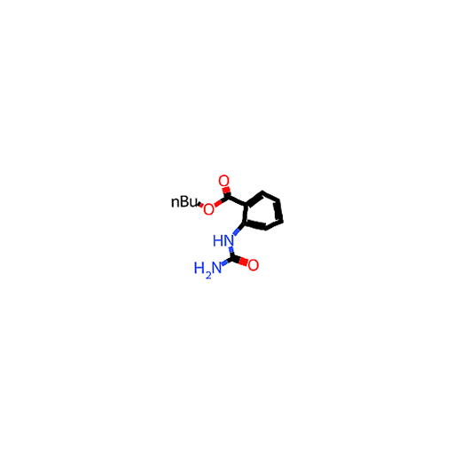 CCCCOC(=O)c1ccccc1NC(N)=O